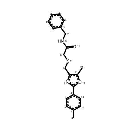 Cc1ccc(-c2nc(CSCC(=O)NCc3ccccc3)c(C)o2)cc1